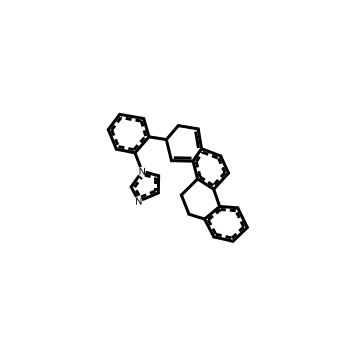 C1=c2ccc3c(c2=CC(c2ccccc2-n2ccnc2)C1)CCc1ccccc1-3